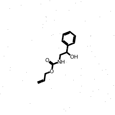 C=CCOC(=O)NCC(O)c1ccccc1